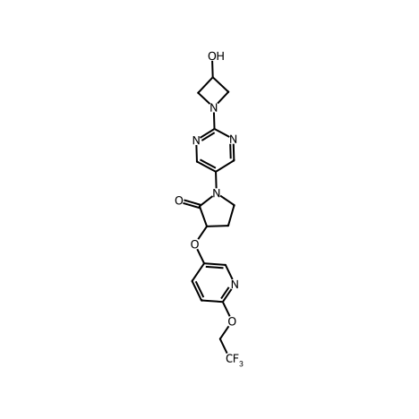 O=C1C(Oc2ccc(OCC(F)(F)F)nc2)CCN1c1cnc(N2CC(O)C2)nc1